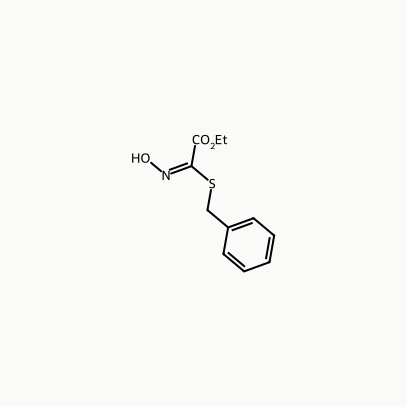 CCOC(=O)C(=NO)SCc1ccccc1